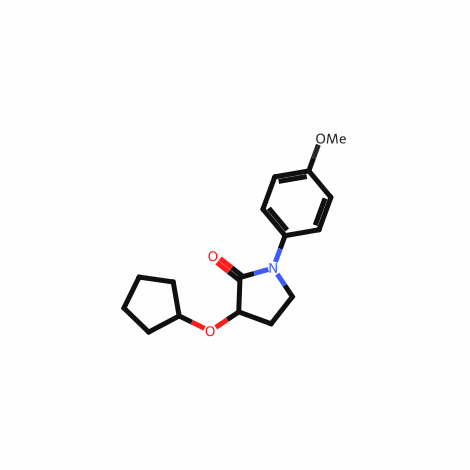 COc1ccc(N2CCC(OC3CCCC3)C2=O)cc1